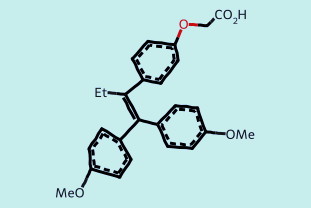 CCC(=C(c1ccc(OC)cc1)c1ccc(OC)cc1)c1ccc(OCC(=O)O)cc1